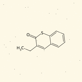 CCc1cc2ccccc2sc1=O